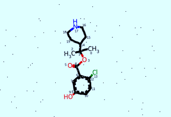 CC(C)(OC(=O)c1cc(O)ccc1Cl)C1CCNCC1